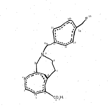 O=C(O)c1ncnc2c1CCN(Cc1ccc(F)cc1)C2